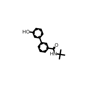 CC(C)(C)NC(=O)c1cccc(-c2cccc(O)c2)c1